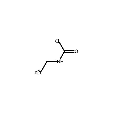 CCCCNC(=O)Cl